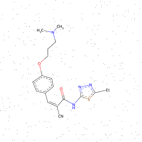 CCc1nnc(NC(=O)/C(C#N)=C\c2ccc(OCCCN(C)C)cc2)s1